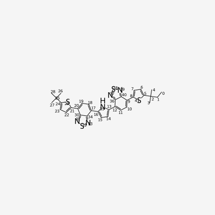 CCC(C)(C)c1ccc(-c2ccc(-c3ccc(-c4ccc(-c5ccc(C(C)(C)C)s5)c5nsnc45)[nH]3)c3nsnc23)s1